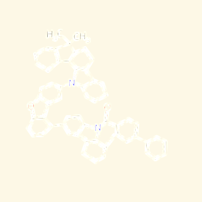 CC1(C)c2ccccc2-c2c1ccc1c3ccccc3n(-c3ccc4oc5cccc(-c6ccc7c(c6)c6cccc8c9cc(-c%10ccccc%10)ccc9c(=O)n7c86)c5c4c3)c21